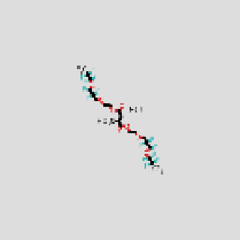 O=C(CC(C(=O)OCCOCC(F)(F)C(F)OC(F)(F)C(F)(F)C(F)(F)F)S(=O)(=O)O)OCCOCC(F)(F)C(F)OC(F)(F)C(F)(F)C(F)(F)F.[NaH]